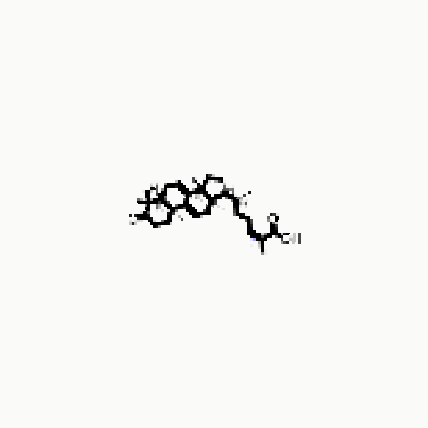 C/C(=C/CC[C@@H](C)[C@H]1CC[C@@]2(C)C3=CC[C@H]4C(C)(C)C(=O)CC[C@]4(C)C3=CC[C@]12C)C(=O)O